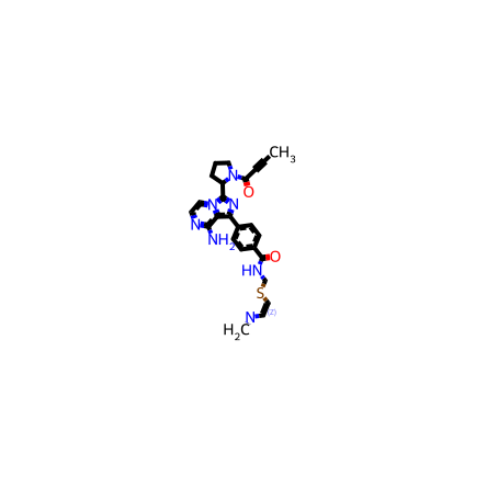 C=N/C=C\SCNC(=O)c1ccc(-c2nc(C3CCCN3C(=O)C#CC)n3ccnc(N)c23)cc1